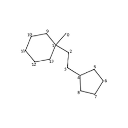 CC1(CCC2CCCC2)CCCCC1